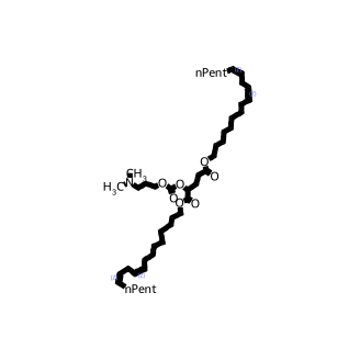 CCCCC/C=C\C/C=C\CCCCCCCCOC(=O)CCC(OC(=O)OCCCN(C)C)C(=O)OCCCCCCCC/C=C\C/C=C\CCCCC